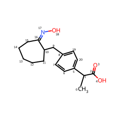 CC(C(=O)O)c1ccc(CC2CCCCC/C2=N/O)cc1